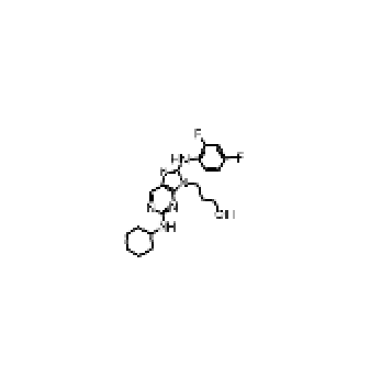 OCCCn1c(Nc2ccc(F)cc2F)nc2cnc(NC3CCCCC3)nc21